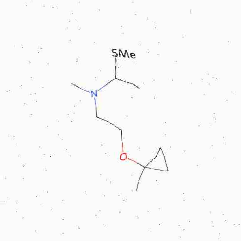 CSC(C)N(C)CCOC1(C)CC1